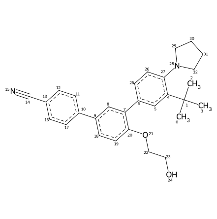 CC(C)(C)c1cc(-c2cc(-c3ccc(C#N)cc3)ccc2OCCO)ccc1N1CCCC1